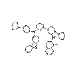 CC1C(n2c3ccccc3c3ccc(-c4cccc(N(c5ccc(-c6ccccc6)cc5)c5ccc6sc7ccccc7c6c5)c4)cc32)=CC=C2C=CC=CC21